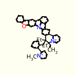 C=CC1(CC)[n+]2ccccc2-c2cc3c4cccc5c6cc7c(cc6n(c3cc2C1(CC)Cc1ccccc1-c1cccc[n+]1C)c45)oc1ccccc17